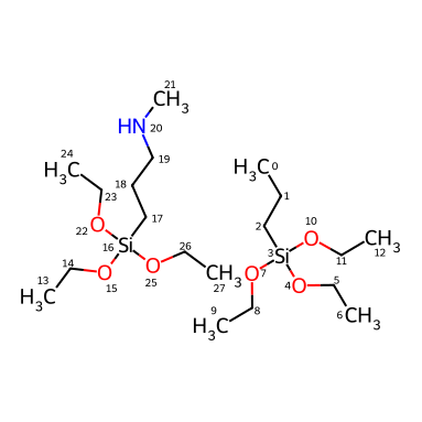 CCC[Si](OCC)(OCC)OCC.CCO[Si](CCCNC)(OCC)OCC